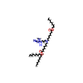 CCCCCC/C=C\COC(=O)CCCCCCCN(CCCCCCCC(=O)OC(CCCCCCCC)CCCCCCCC)CCCN/C(=N/C#N)N(C)C